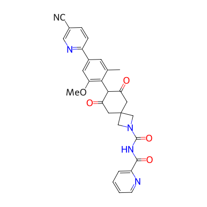 COc1cc(-c2ccc(C#N)cn2)cc(C)c1C1C(=O)CC2(CC1=O)CN(C(=O)NC(=O)c1ccccn1)C2